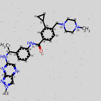 CCn1cc2ncc(N[C@@H](C)c3cccc(NC(=O)c4ccc(CN5CCN(C)CC5)c(C5CC5)c4)c3)nc2n1